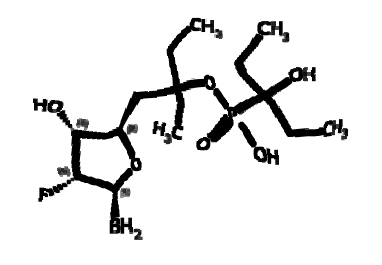 B[C@@H]1O[C@H](CC(C)(CC)OP(=O)(O)C(O)(CC)CC)[C@@H](O)[C@H]1F